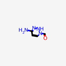 NC1=NNN(C=O)C=C1